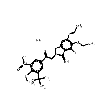 Br.CCOc1cc2c(c(F)c1OCC)C(=N)N(CC(=O)c1cc([N+](=O)[O-])c(OC)c(C(C)(C)C)c1)C2